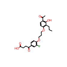 CCCc1c(OCCCOc2ccc(C(=O)CCC(=O)O)cc2F)ccc(C(C)=O)c1O